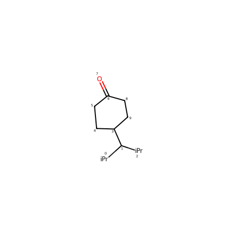 CC(C)C(C(C)C)C1CCC(=O)CC1